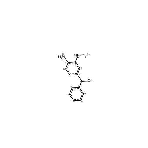 CCCNc1cc(C(=O)c2ccccc2)ccc1N